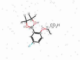 C[C@H](Oc1ccc(F)cc1B1OC(C)(C)C(C)(C)O1)C(=O)O